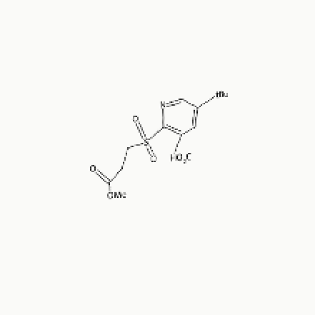 COC(=O)CCS(=O)(=O)c1ncc(C(C)(C)C)cc1C(=O)O